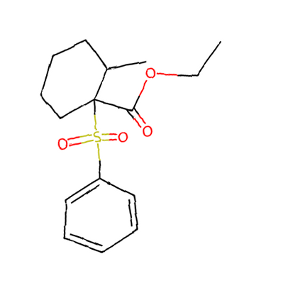 CCOC(=O)C1(S(=O)(=O)c2ccccc2)CCCCC1C